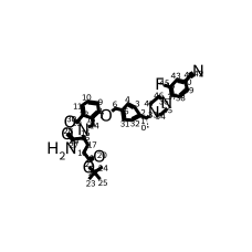 C[C@H](c1ccc(COc2cccc3c2CN(C(CCC(=O)OC(C)(C)C)C(N)=O)C3=O)cc1)N1CCN(c2ccc(C#N)cc2F)CC1